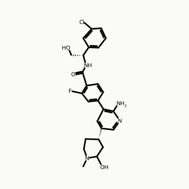 CN1CC[C@H](c2cnc(N)c(-c3ccc(C(=O)N[C@H](CO)c4cccc(Cl)c4)c(F)c3)c2)CC1O